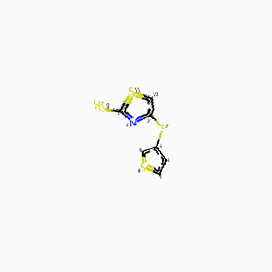 Sc1nc(Sc2ccsc2)cs1